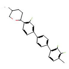 CCCCCC1CCC(c2ccc(-c3ccc(-c4ccc(C)c(F)c4F)cc3)cc2F)OC1